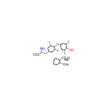 CC(=O)Oc1ccccc1C(=O)O.N[C@@H](Cc1cc(I)c(Oc2cc(I)c(O)c(I)c2)c(I)c1)C(=O)[O-].[Na+]